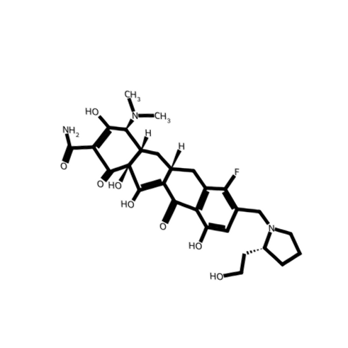 CN(C)[C@@H]1C(O)=C(C(N)=O)C(=O)[C@@]2(O)C(O)=C3C(=O)c4c(O)cc(CN5CCC[C@@H]5CCO)c(F)c4C[C@H]3C[C@@H]12